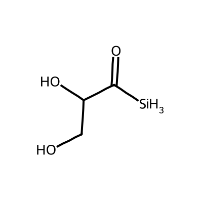 O=C([SiH3])C(O)CO